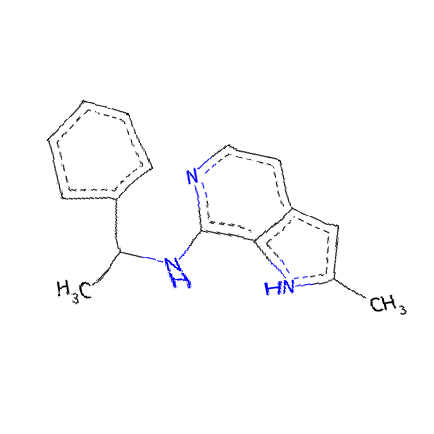 Cc1cc2ccnc(NC(C)c3ccccc3)c2[nH]1